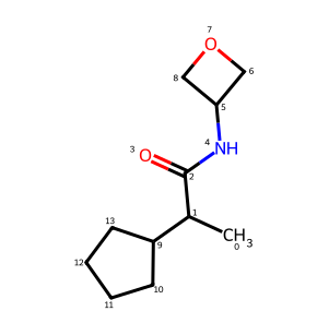 CC(C(=O)NC1COC1)C1CCCC1